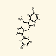 CCn1c(Cn2ccnc2-c2cccc(Cl)n2)nc2ccc(Cl)nc21